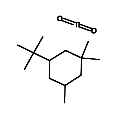 CC1CC(C(C)(C)C)CC(C)(C)C1.[O]=[Ti]=[O]